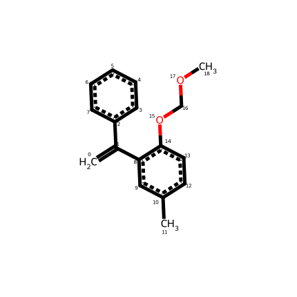 C=C(c1ccccc1)c1cc(C)ccc1OCOC